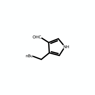 CCCCCc1c[nH]cc1C=O